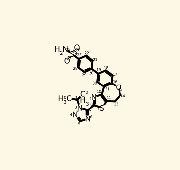 CC(C)n1ncnc1-c1nc2c(s1)CCOc1ccc(-c3ccc(S(N)(=O)=O)cc3)cc1-2